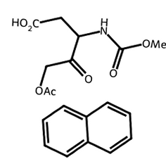 COC(=O)NC(CC(=O)O)C(=O)COC(C)=O.c1ccc2ccccc2c1